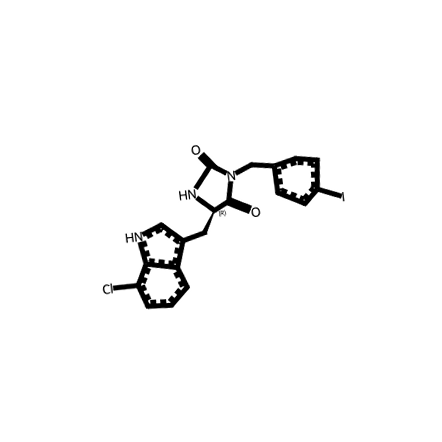 O=C1N[C@H](Cc2c[nH]c3c(Cl)cccc23)C(=O)N1Cc1ccc(I)cc1